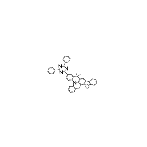 CC1(C)c2cc(-c3nc(-c4ccccc4)nc(-c4ccccc4)n3)ccc2N2c3ccccc3Cc3c2c1cc1c3oc2ccccc21